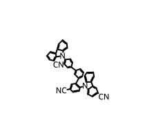 N#Cc1ccc(-n2c3ccccc3c3cc(C#N)ccc32)c(-c2cccc(-c3ccc(-n4c5ccccc5c5cccc(C#N)c54)cc3)c2)c1